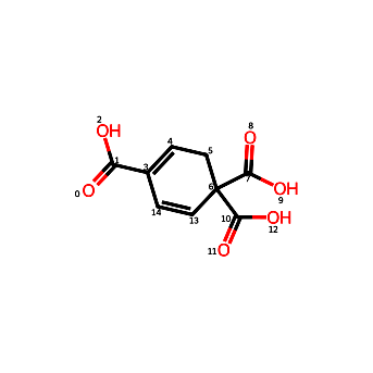 O=C(O)C1=CCC(C(=O)O)(C(=O)O)C=C1